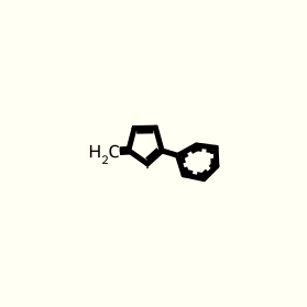 C=C1[C]=C(c2ccccc2)C=C1